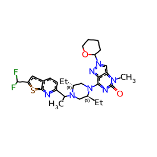 CC[C@H]1CN(C(C)c2ccc3cc(C(F)F)sc3n2)[C@H](CC)CN1c1nc(=O)n(C)c2cn(C3CCCCO3)nc12